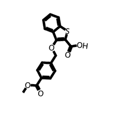 COC(=O)c1ccc(COc2c(C(=O)O)sc3ccccc23)cc1